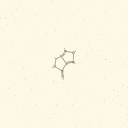 O=C1OCc2nonc21